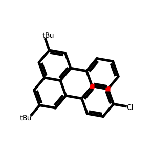 CC(C)(C)c1cc(-c2ccccc2)c2c(-c3ccc(Cl)cc3)cc(C(C)(C)C)cc2c1